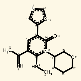 CNc1c(C(C)=N)cc(-c2cncs2)c(=O)n1C1CCCOC1